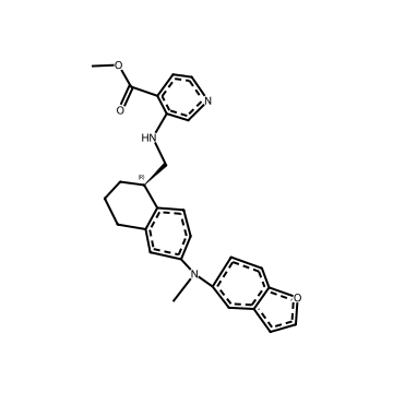 COC(=O)c1ccncc1NC[C@@H]1CCCc2cc(N(C)c3ccc4occc4c3)ccc21